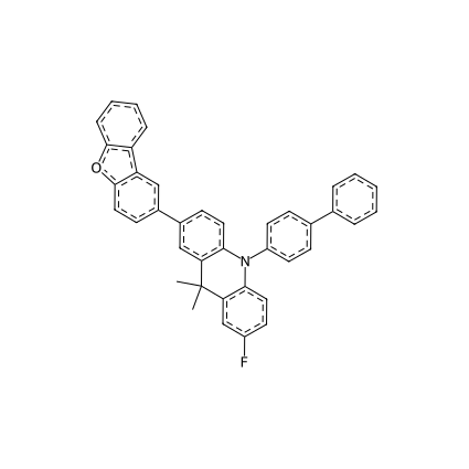 CC1(C)c2cc(F)ccc2N(c2ccc(-c3ccccc3)cc2)c2ccc(-c3ccc4oc5ccccc5c4c3)cc21